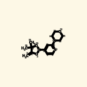 C=C1OB(c2ccnc(N3CCOCC3)c2)OC1(C)C